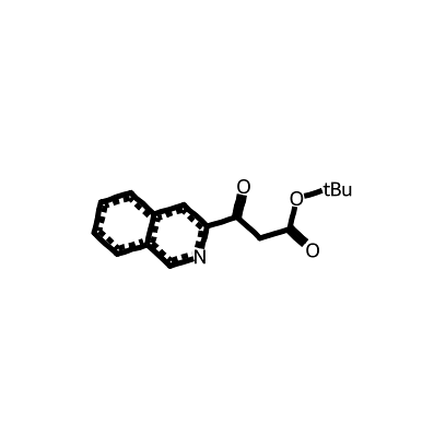 CC(C)(C)OC(=O)CC(=O)c1cc2ccccc2cn1